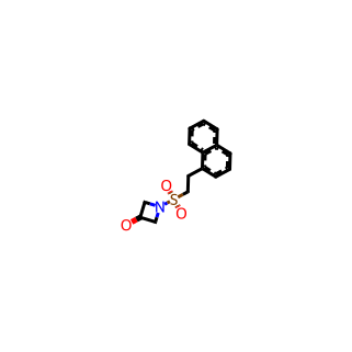 O=C1CN(S(=O)(=O)CCc2cccc3ccccc23)C1